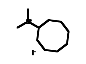 C[S+](C)C1CCCCCCC1.[I-]